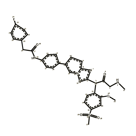 CNCC(=O)N(c1nc2ccc(-c3ccc(NC(=O)Cc4ccc(F)cc4)cc3)cn2n1)c1ccc(S(C)(=O)=O)cc1OC